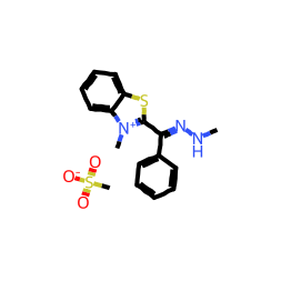 CNN=C(c1ccccc1)c1sc2ccccc2[n+]1C.CS(=O)(=O)[O-]